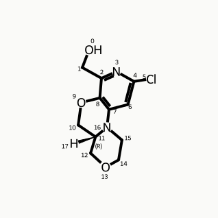 OCc1nc(Cl)cc2c1OC[C@H]1COCCN21